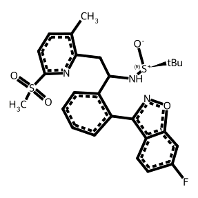 Cc1ccc(S(C)(=O)=O)nc1CC(N[S@@+]([O-])C(C)(C)C)c1ccccc1-c1noc2cc(F)ccc12